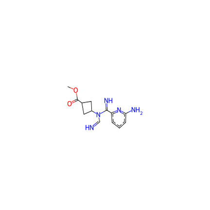 COC(=O)C1CC(N(C=N)C(=N)c2cccc(N)n2)C1